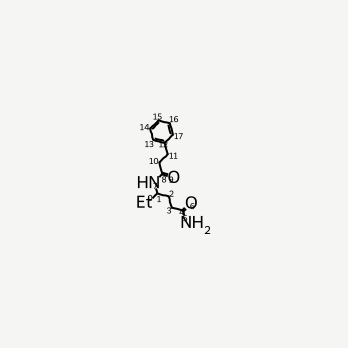 CCC(CCC(N)=O)NC(=O)CCc1ccccc1